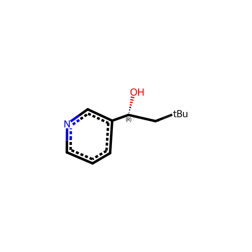 CC(C)(C)[CH][C@@H](O)c1cccnc1